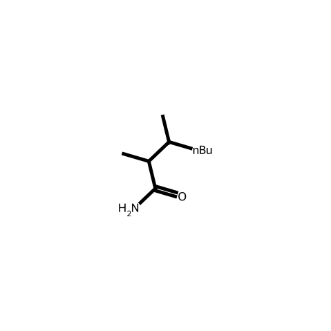 CCCC[C](C)C(C)C(N)=O